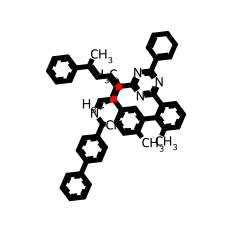 C/C=C(\C=N/C(C)c1ccc(-c2ccccc2)cc1)c1ccc(C)c(-c2c(C)cccc2-c2nc(C3=CCCC=C3)nc(/C(=C/C=C(\C)c3ccccc3)CC)n2)c1